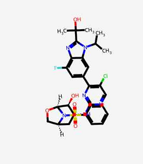 CC(C)n1c(C(C)(C)O)nc2c(F)cc(-c3nc(N[C@@H]4C[C@H]5CO[C@@H]([C@H]4O)N5S(=O)(=O)c4ccccc4)ncc3Cl)cc21